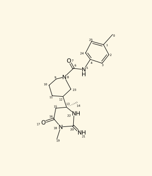 Cc1ccc(NC(=O)N2CCCC([C@]3(C)CC(=O)N(C)C(=N)N3)C2)cc1